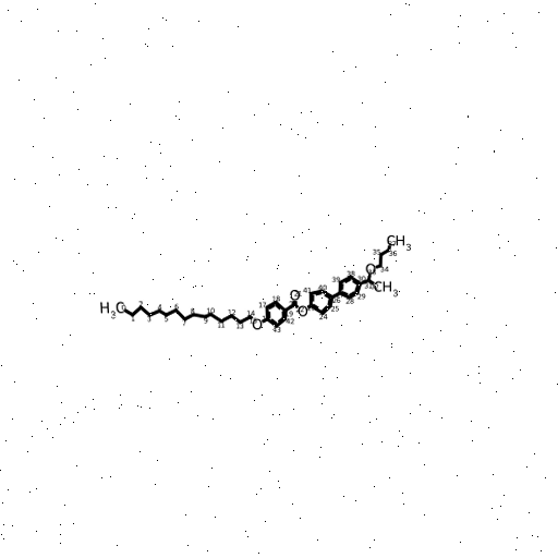 CCCCCCCCCCCCCCCOc1ccc(C(=O)Oc2ccc(-c3ccc(C(C)OCCCC)cc3)cc2)cc1